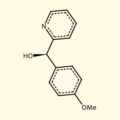 COc1ccc([C@@H](O)c2ccccn2)cc1